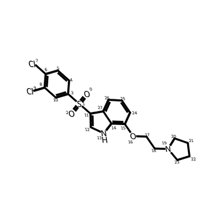 O=S(=O)(c1ccc(Cl)c(Cl)c1)c1c[nH]c2c(OCCN3CCCC3)cccc12